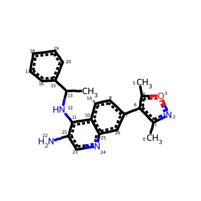 Cc1noc(C)c1-c1ccc2c(NC(C)c3ccccc3)c(N)cnc2c1